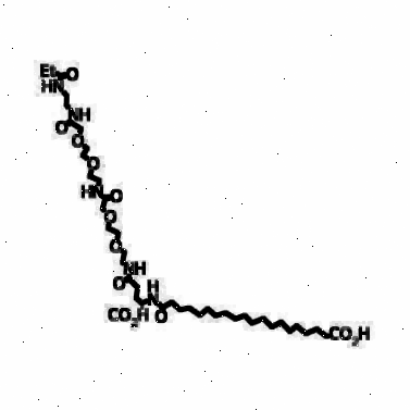 CCC(=O)NCCNC(=O)COCCOCCNC(=O)COCCOCCNC(=O)CC[C@H](NC(=O)CCCCCCCCCCCCCCCCCCC(=O)O)C(=O)O